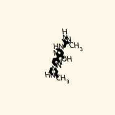 Cc1n[nH]cc1CNc1cnc(-c2ccc(N3CCNC(C)C3)nn2)c(O)c1